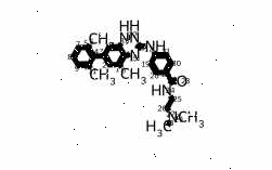 Cc1cc(-c2c(C)cccc2C)cc2c1N=C(Nc1ccc(C(=O)NCCN(C)C)cc1)NN2